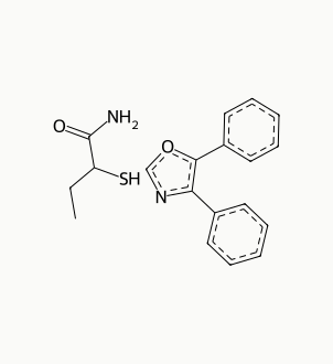 CCC(S)C(N)=O.c1ccc(-c2ncoc2-c2ccccc2)cc1